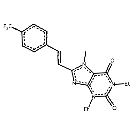 CCn1c(=O)c2c(nc(/C=C/c3ccc(C(F)(F)F)cc3)n2C)n(CC)c1=O